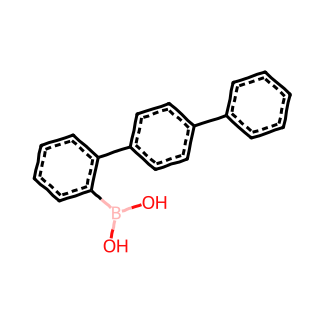 OB(O)c1ccccc1-c1ccc(-c2ccccc2)cc1